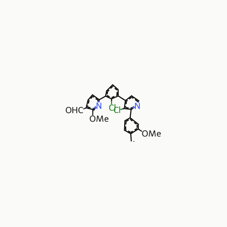 [CH2]c1ccc(-c2nccc(-c3cccc(-c4ccc(C=O)c(OC)n4)c3Cl)c2Cl)cc1OC